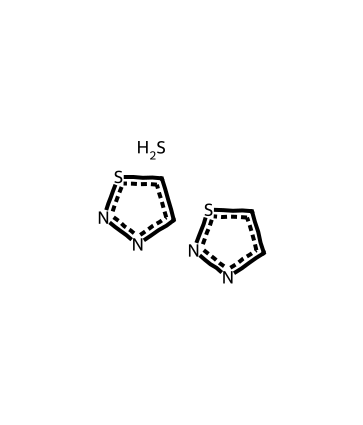 S.c1csnn1.c1csnn1